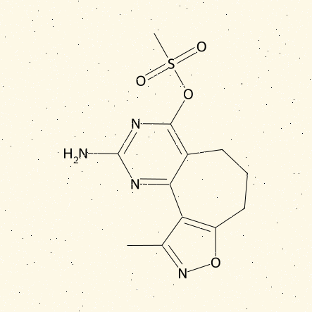 Cc1noc2c1-c1nc(N)nc(OS(C)(=O)=O)c1CCC2